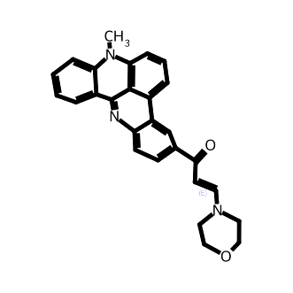 CN1c2ccccc2-c2nc3ccc(C(=O)/C=C/N4CCOCC4)cc3c3cccc1c23